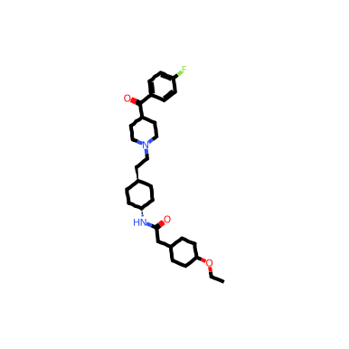 CCOC1CCC(CC(=O)N[C@H]2CC[C@H](CCN3CCC(C(=O)c4ccc(F)cc4)CC3)CC2)CC1